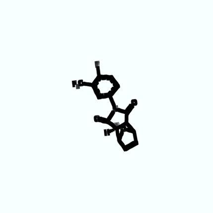 O=C1C2C3C=CC(O3)[C@H]2C(=O)N1c1ccc(F)c(C(F)(F)F)c1